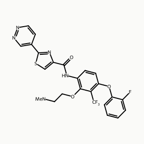 CNCCOc1c(NC(=O)c2csc(-c3ccnnc3)n2)ccc(Oc2ccccc2F)c1C(F)(F)F